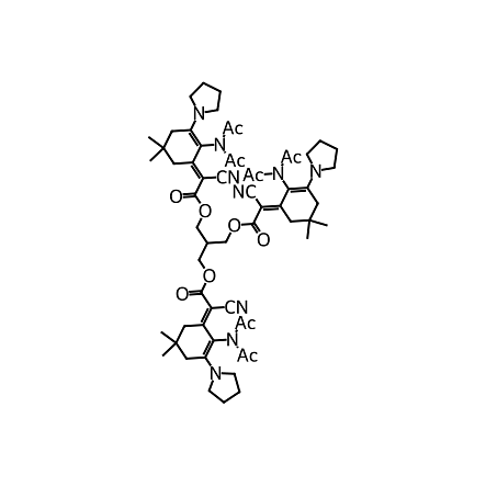 CC(=O)N(C(C)=O)C1=C(N2CCCC2)CC(C)(C)C/C1=C(/C#N)C(=O)OCC(COC(=O)/C(C#N)=C1\CC(C)(C)CC(N2CCCC2)=C1N(C(C)=O)C(C)=O)COC(=O)/C(C#N)=C1\CC(C)(C)CC(N2CCCC2)=C1N(C(C)=O)C(C)=O